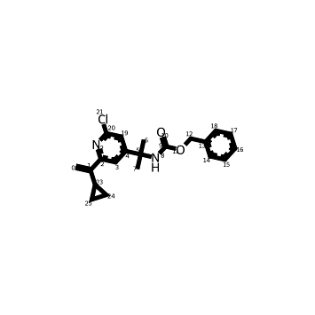 C=C(c1cc(C(C)(C)NC(=O)OCc2ccccc2)cc(Cl)n1)C1CC1